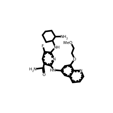 COCCOc1cc(Nc2nc(NC3CCCCC3N)c(F)cc2C(N)=O)cc2cccnc12